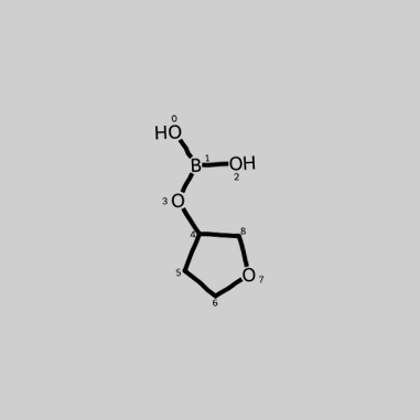 OB(O)OC1CCOC1